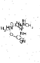 CNc1cc2nc3c(cnn13)C(=O)N[C@H](C)COCc1cc(c3cnoc3c1)N2